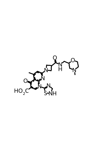 Cc1cc(N2CC(C(=O)NCC3CN(C)CCO3)C2)nc2c1c(=O)c(C(=O)O)cn2C1=NCNS1